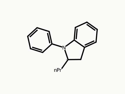 CCC[C]1Cc2ccccc2N1c1ccccc1